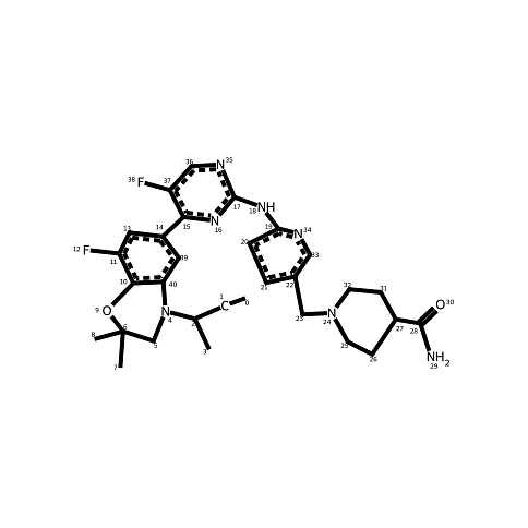 CCC(C)N1CC(C)(C)Oc2c(F)cc(-c3nc(Nc4ccc(CN5CCC(C(N)=O)CC5)cn4)ncc3F)cc21